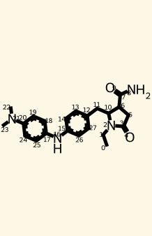 CCN1C(=O)CC(C(N)=O)C1Cc1ccc(Nc2ccc(N(C)C)cc2)cc1